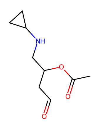 CC(=O)OC(CC=O)CNC1CC1